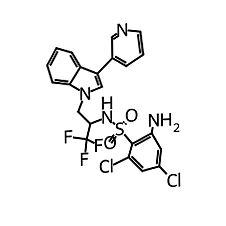 Nc1cc(Cl)cc(Cl)c1S(=O)(=O)NC(Cn1cc(-c2cccnc2)c2ccccc21)C(F)(F)F